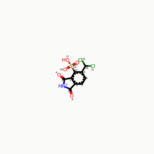 O=C1NC(=O)c2c1ccc(C(Cl)Cl)c2S(=O)(=O)O